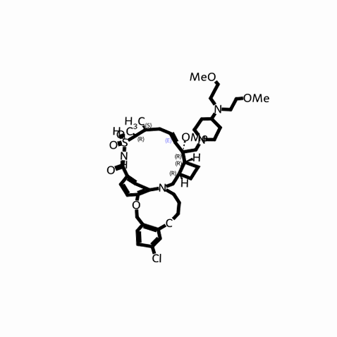 COCCN(CCOC)C1CCN(C[C@]2(OC)/C=C/C[C@H](C)[C@@H](C)S(=O)(=O)NC(=O)c3ccc4c(c3)N(CCCCc3cc(Cl)ccc3CO4)C[C@@H]3CC[C@H]32)CC1